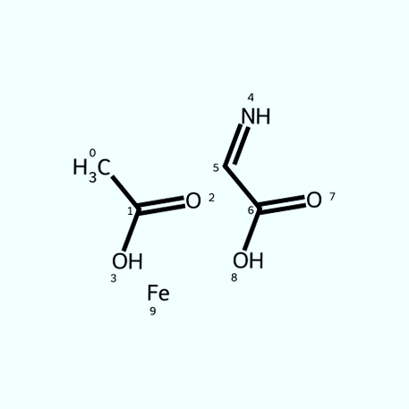 CC(=O)O.N=CC(=O)O.[Fe]